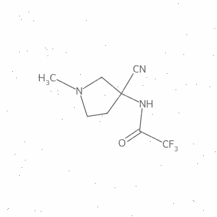 CN1CCC(C#N)(NC(=O)C(F)(F)F)C1